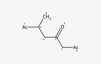 CC(=O)CC(=O)CC(C)C(C)=O